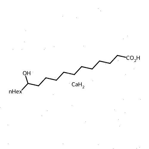 CCCCCCC(O)CCCCCCCCCCC(=O)O.[CaH2]